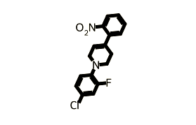 O=[N+]([O-])c1ccccc1C1=CCN(c2ccc(Cl)cc2F)CC1